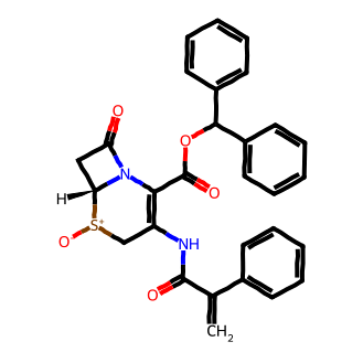 C=C(C(=O)NC1=C(C(=O)OC(c2ccccc2)c2ccccc2)N2C(=O)C[C@H]2[S+]([O-])C1)c1ccccc1